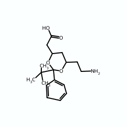 CC(C)(C)C1(c2ccccc2)OC(CCN)CC(CC(=O)O)O1